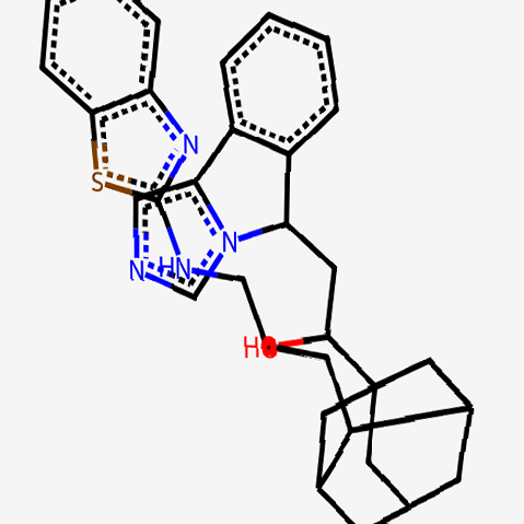 OC(CC1c2ccccc2-c2cncn21)C12CC3CC(C1)C(CCCNc1nc4ccccc4s1)C(C3)C2